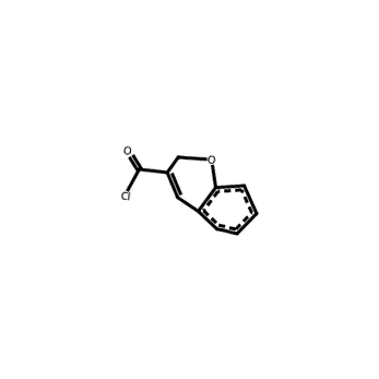 O=C(Cl)C1=Cc2ccccc2OC1